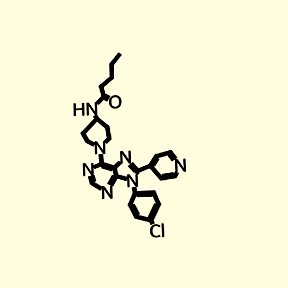 CCCCC(=O)NC1CCN(c2ncnc3c2nc(-c2ccncc2)n3-c2ccc(Cl)cc2)CC1